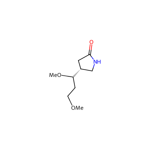 COCCC(OC)[C@H]1CNC(=O)C1